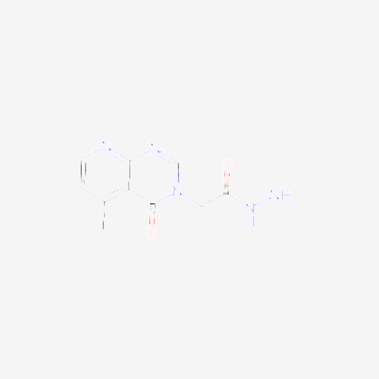 Cc1ccnc2ncn(CC(=O)NN)c(=O)c12